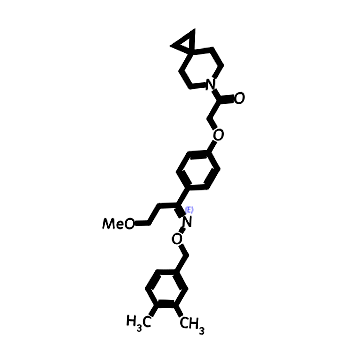 COCC/C(=N\OCc1ccc(C)c(C)c1)c1ccc(OCC(=O)N2CCC3(CC2)CC3)cc1